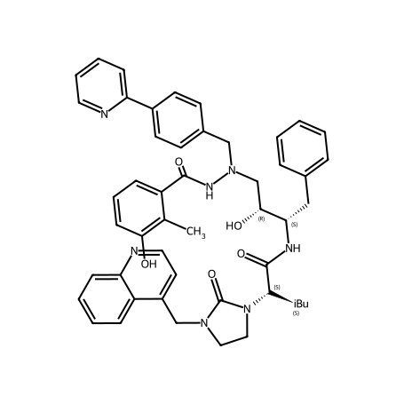 CC[C@H](C)[C@@H](C(=O)N[C@@H](Cc1ccccc1)[C@H](O)CN(Cc1ccc(-c2ccccn2)cc1)NC(=O)c1cccc(O)c1C)N1CCN(Cc2ccnc3ccccc23)C1=O